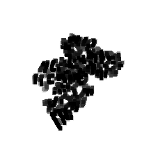 [2H]c1c([2H])c(C([2H])([2H])Sc2nc(=O)c3c(n2CC(=O)N(Cc2c([2H])c([2H])c(-c4c([2H])c([2H])c(C(F)(F)F)c([2H])c4[2H])c([2H])c2[2H])C([2H])([2H])C([2H])([2H])N(CC)CC)C([2H])([2H])C([2H])(C)C3([2H])[2H])c([2H])c([2H])c1F